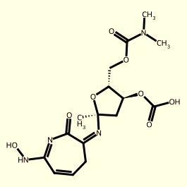 CN(C)C(=O)OC[C@H]1O[C@](C)(/N=C2/CC=CC(NO)=NC2=O)C[C@@H]1OC(=O)O